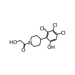 O=C(CO)N1CCC(c2c(O)cc(Cl)c(Cl)c2Cl)CC1